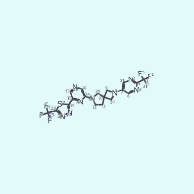 FC(F)(F)c1ncc(N2CC3(CCN(c4cncc(-c5nnc(C(F)(F)F)s5)n4)C3)C2)cn1